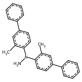 Cc1cc(-c2ccccc2)ccc1N(N)c1ccc(-c2ccccc2)cc1C